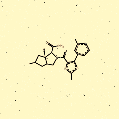 Cc1cccc(-c2sc(C)nc2C(=O)N2CC3CC(C)C[C@@H]3C2C(N)=O)c1